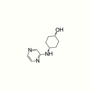 O[C@H]1CC[C@@H](Nc2cnccn2)CC1